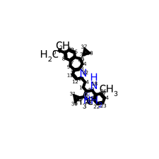 C=C(C)c1ccc2c(c1)Cc1ccc(CC/C(C(=N)c3c(C)cccc3C)=C(/N)C3CC3)nc1C[C@H]2C1CC1